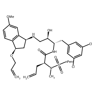 C=CCO[C@@H]1C[C@H](NC[C@@H](O)[C@H](Cc2cc(Cl)cc(Cl)c2)NC(=O)[C@H](CC=C)N(C)S(=O)(=O)CCCCC)c2cc(OC)ccc21